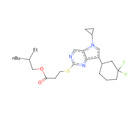 CCCCC(CC)COC(=O)CCSc1ncc2c(n1)c(C1CCCC(F)(F)C1)cn2C1CC1